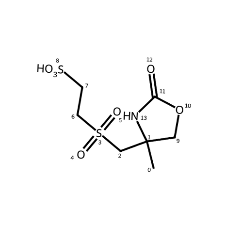 CC1(CS(=O)(=O)CCS(=O)(=O)O)COC(=O)N1